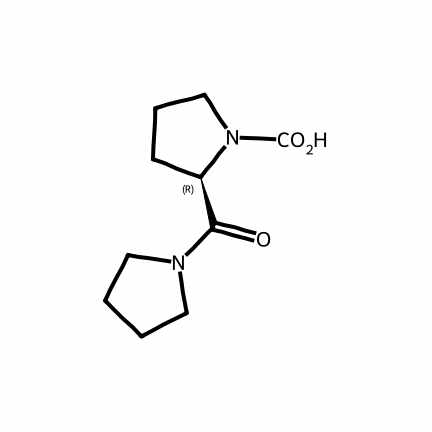 O=C([C@H]1CCCN1C(=O)O)N1CCCC1